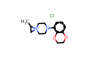 CC1C[N+]12CCN(c1cccc3c1OCCO3)CC2.[Cl-]